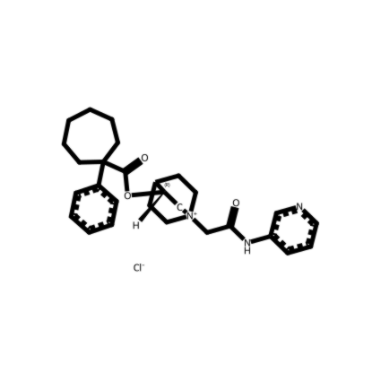 O=C(C[N+]12CCC(CC1)[C@@H](OC(=O)C1(c3ccccc3)CCCCCC1)C2)Nc1cccnc1.[Cl-]